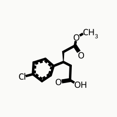 COC(=O)C[C@@H](CC(=O)O)c1ccc(Cl)cc1